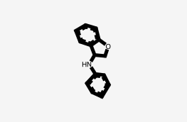 c1ccc(NC2COc3ccccc32)cc1